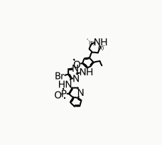 CCc1cc(Nc2ncc(Br)c(Nc3cnc4ccccc4c3P(C)(C)=O)n2)c(OC)cc1C1C[C@@H](C)N[C@@H](C)C1